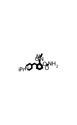 Cc1noc(-c2c(CC3CCN(C(C)C)CC3)cccc2OC(N)=O)n1